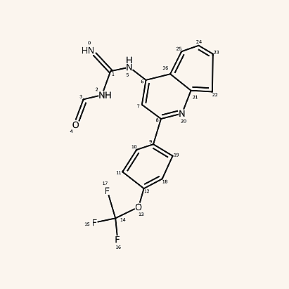 N=C(NC=O)Nc1cc(-c2ccc(OC(F)(F)F)cc2)nc2ccccc12